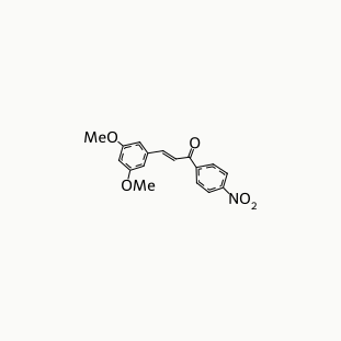 COc1cc(/C=C/C(=O)c2ccc([N+](=O)[O-])cc2)cc(OC)c1